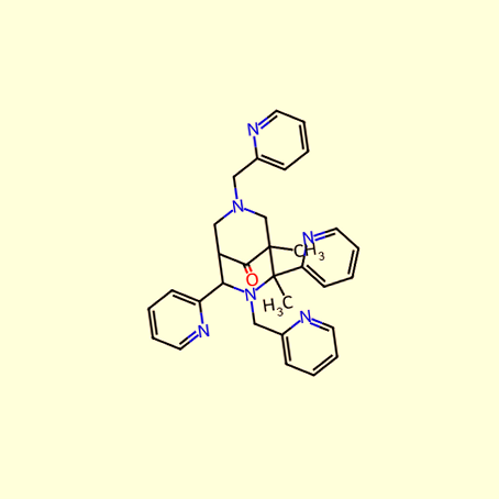 CC12CN(Cc3ccccn3)CC(C1=O)C(c1ccccn1)N(Cc1ccccn1)C2(C)c1ccccn1